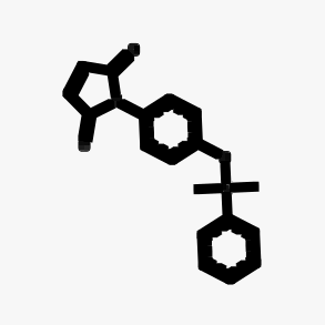 C[Si](C)(Oc1ccc(N2C(=O)C=CC2=O)cc1)c1ccccc1